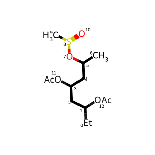 CCC(CC(CC(C)OS(C)=O)OC(C)=O)OC(C)=O